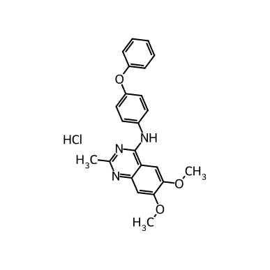 COc1cc2nc(C)nc(Nc3ccc(Oc4ccccc4)cc3)c2cc1OC.Cl